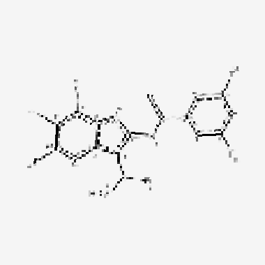 CCC(C(=O)O)n1/c(=N/C(=O)c2cc(F)cc(F)c2)sc2c(F)c(F)c(F)cc21